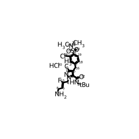 Cc1nn(C/C(F)=C/CN)c(C(=O)NC(C)(C)C)c1Cc1ccc(S(=O)(=O)N(C)C)c(Cl)c1.Cl